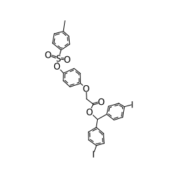 Cc1ccc(S(=O)(=O)Oc2ccc(OCC(=O)OC(c3ccc(I)cc3)c3ccc(I)cc3)cc2)cc1